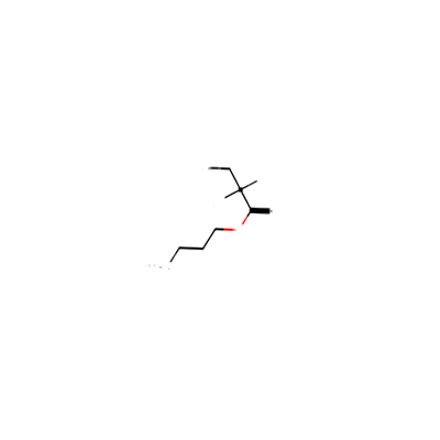 C=C(OCCCNC)C(C)(CC(C)(C)C)C(C)(C)C